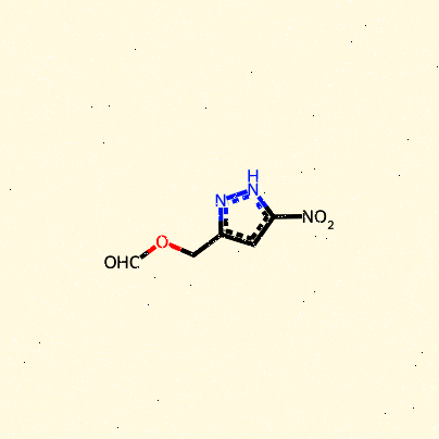 O=COCc1cc([N+](=O)[O-])[nH]n1